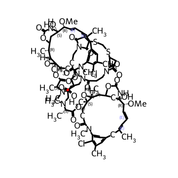 CO[C@@H]1/C=C/C=C(\C)Cc2cc(C)c(Cl)c(c2)N(C)C(=O)C[C@H](OC(=O)[C@H](C)N(C)CC(=O)CCN2C(=O)CCN3C(=O)CC(SCSC4CC(=O)N(CCC(=O)N2CCC(=O)N(C)[C@@H](C)C(=O)O[C@H]2CC(=O)N(C)c5cc(cc(C)c5Cl)C/C(C)=C/C=C/[C@@H](OC)[C@@]5(O)CC(OC(=O)N5)[C@@H](C)[C@H]5O[C@@]25C)C4=O)C3=O)[C@]2(C)O[C@@H]2[C@H](C)C2C[C@@]1(O)NC(=O)O2